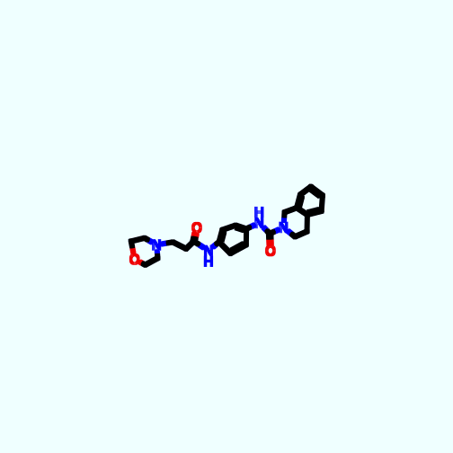 O=C(CCN1CCOCC1)Nc1ccc(NC(=O)N2CCc3ccccc3C2)cc1